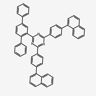 c1ccc(-c2ccc(-c3ccccc3)c(-c3nc(-c4ccc(-c5cccc6ccccc56)cc4)nc(-c4ccc(-c5cccc6ccccc56)cc4)n3)c2)cc1